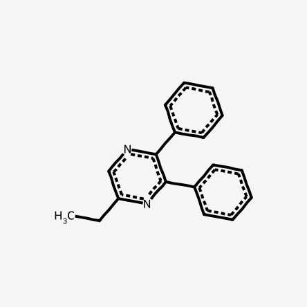 CCc1cnc(-c2ccccc2)c(-c2ccccc2)n1